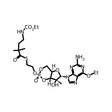 CCOC(=O)NCCC(C)(C)C(=O)SCCO[P@]1(=O)OC[C@H]2O[C@@H](n3cnc4c(OCC)nc(N)nc43)[C@](C)(O)[C@@H]2O1